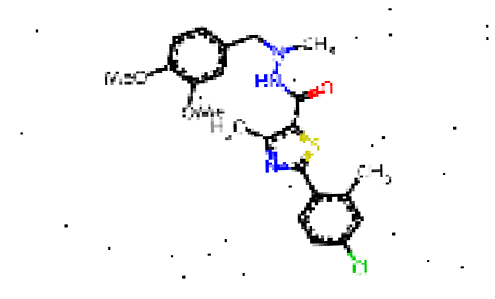 COc1ccc(CN(C)NC(=O)c2sc(-c3ccc(Cl)cc3C)nc2C)cc1OC